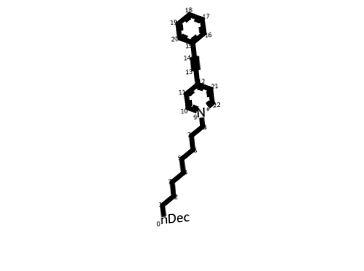 CCCCCCCCCCCCCCCCCC[n+]1ccc(C#Cc2ccccc2)cc1